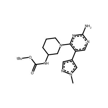 Cn1cc(-c2cnc(N)nc2N2CCCC(NC(=O)OC(C)(C)C)C2)cn1